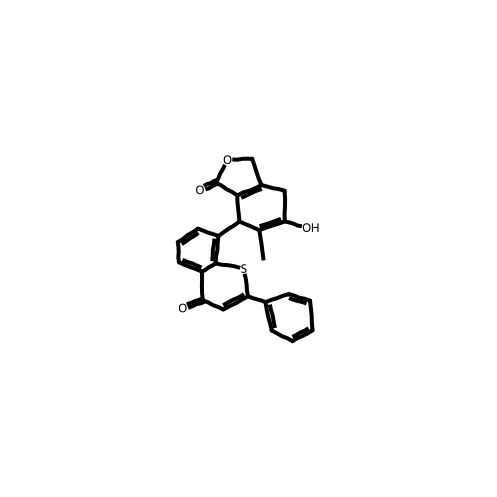 CC1=C(O)CC2=C(C(=O)OC2)C1c1cccc2c(=O)cc(-c3ccccc3)sc12